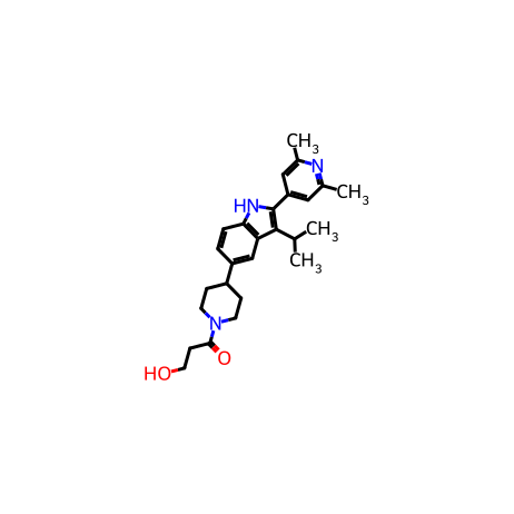 Cc1cc(-c2[nH]c3ccc(C4CCN(C(=O)CCO)CC4)cc3c2C(C)C)cc(C)n1